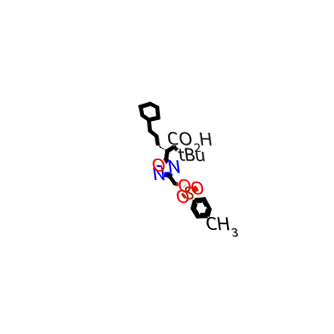 Cc1ccc(S(=O)(=O)OCc2noc([C@H](CCCC3CCCCC3)C(C(=O)O)C(C)(C)C)n2)cc1